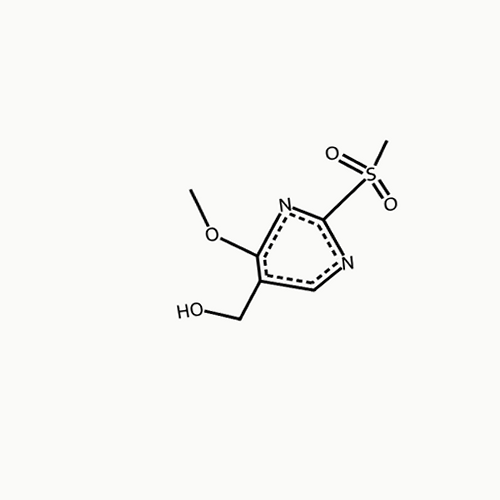 COc1nc(S(C)(=O)=O)ncc1CO